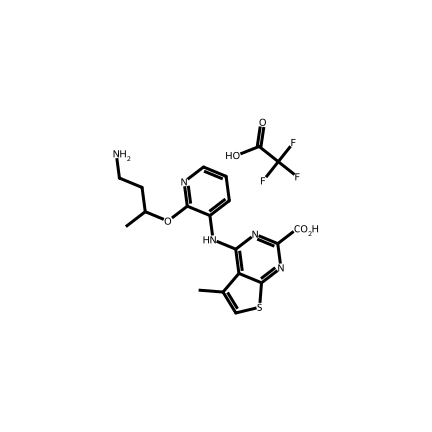 Cc1csc2nc(C(=O)O)nc(Nc3cccnc3OC(C)CCN)c12.O=C(O)C(F)(F)F